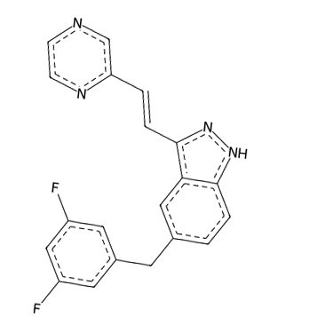 Fc1cc(F)cc(Cc2ccc3[nH]nc(C=Cc4cnccn4)c3c2)c1